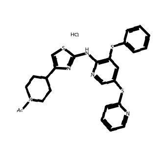 CC(=O)N1CCC(c2csc(Nc3ncc(Sc4ccccn4)cc3Sc3ccccc3)n2)CC1.Cl